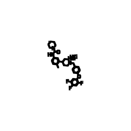 Cc1ccc(NC(=O)N2CC[CH]CC2)cc1C1CCN(Cc2ccc(Oc3cc(F)c(F)cc3F)cc2)CC1.Cl.Cl